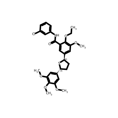 CCOc1c(OC)cc([C@H]2CC[C@H](c3cc(OC)c(OC)c(OC)c3)S2)cc1C(=O)Nc1cccc(Cl)c1